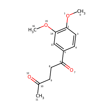 COc1ccc(C(=O)CCC(C)=O)cc1OC